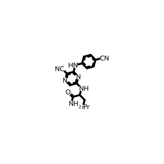 CC(C)CC(Nc1cnc(C#N)c(Nc2ccc(C#N)cc2)n1)C(N)=O